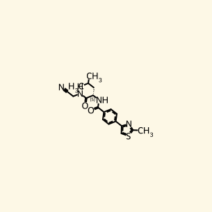 Cc1nc(-c2ccc(C(=O)N[C@@H](CC(C)C)C(=O)NCC#N)cc2)cs1